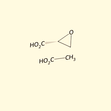 CC(=O)O.O=C(O)[C@H]1CO1